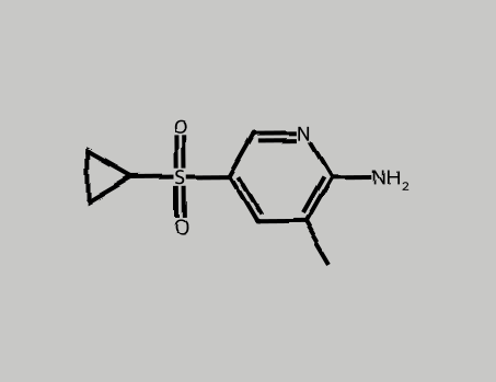 Cc1cc(S(=O)(=O)C2CC2)cnc1N